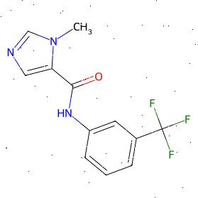 Cn1cncc1C(=O)Nc1[c]ccc(C(F)(F)F)c1